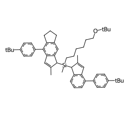 CC1=Cc2c(-c3ccc(C(C)(C)C)cc3)cccc2C1[Si](C)(CCCCCCOC(C)(C)C)C1C(C)=Cc2c1cc1c(c2-c2ccc(C(C)(C)C)cc2)CCC1